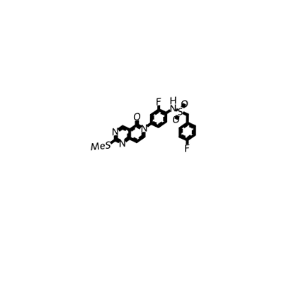 CSc1ncc2c(=O)n(-c3ccc(NS(=O)(=O)Cc4ccc(F)cc4)c(F)c3)ccc2n1